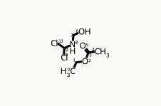 CCOC(C)=O.OCNC(Cl)Cl